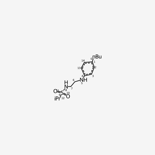 CCCCc1ccc(NCCNS(=O)(=O)C(C)C)cc1